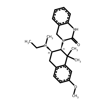 CCN(C)[C@@H]1Cc2ccc(OC)cc2C(C)(C)[C@@H]1N1Cc2ccccc2NC1=O